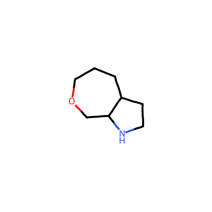 C1COCC2NCCC2C1